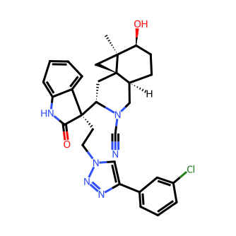 C[C@@]12C[C@@]13C[C@@H]([C@@]1(CCn4cc(-c5cccc(Cl)c5)nn4)C(=O)Nc4ccccc41)N(C#N)C[C@@H]3CC[C@@H]2O